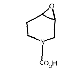 O=C(O)N1CCC2OC2C1